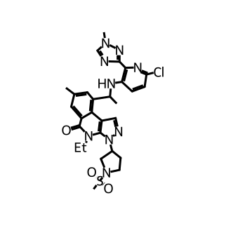 CCn1c(=O)c2cc(C)cc(C(C)Nc3ccc(Cl)nc3-c3ncn(C)n3)c2c2cnn(C3CCN(S(C)(=O)=O)C3)c21